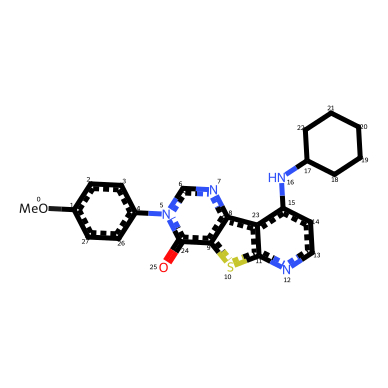 COc1ccc(-n2cnc3c(sc4nccc(NC5CCCCC5)c43)c2=O)cc1